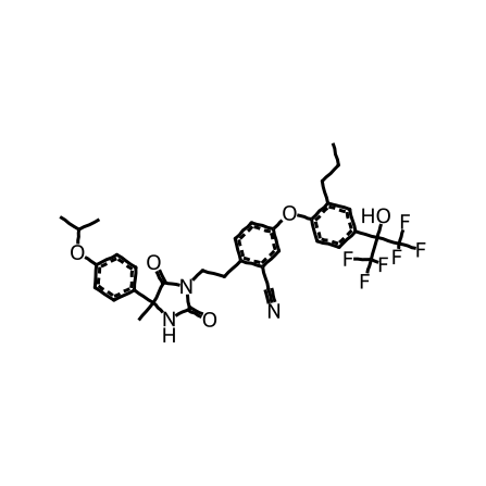 CCCc1cc(C(O)(C(F)(F)F)C(F)(F)F)ccc1Oc1ccc(CCN2C(=O)NC(C)(c3ccc(OC(C)C)cc3)C2=O)c(C#N)c1